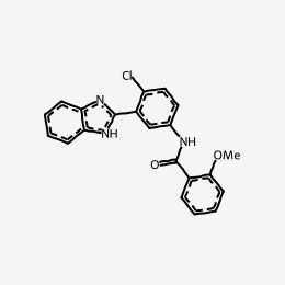 COc1ccccc1C(=O)Nc1ccc(Cl)c(-c2nc3ccccc3[nH]2)c1